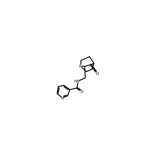 O=C(NCC1C(=O)C2CCN1CC2)c1cccnc1